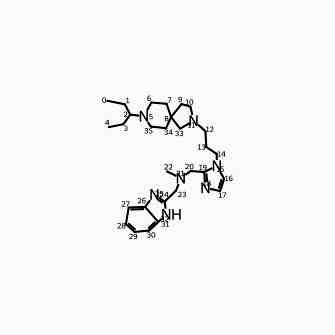 CCC(CC)N1CCC2(CCN(CCCn3ccnc3CN(C)Cc3nc4ccccc4[nH]3)C2)CC1